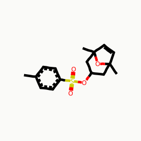 Cc1ccc(S(=O)(=O)OC2CC3(C)C=CC(C)(C2)O3)cc1